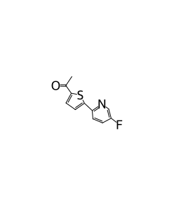 CC(=O)c1ccc(-c2ccc(F)cn2)s1